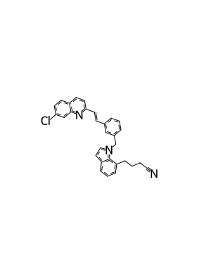 N#CCCCc1cccc2ccn(Cc3cccc(C=Cc4ccc5ccc(Cl)cc5n4)c3)c12